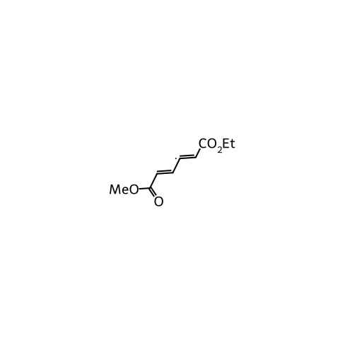 CCOC(=O)/C=[C]/C=CC(=O)OC